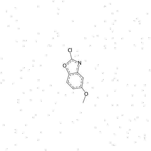 COc1ccc2oc(Cl)nc2c1